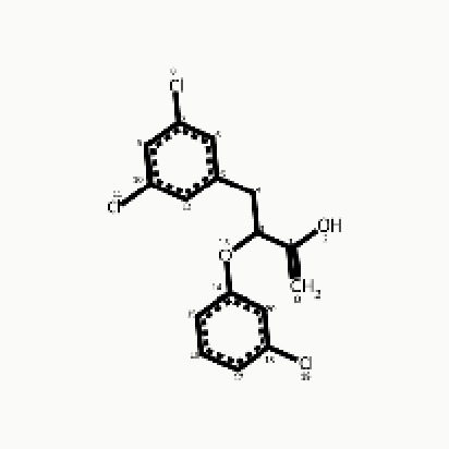 C=C(O)C(Cc1cc(Cl)cc(Cl)c1)Oc1cccc(Cl)c1